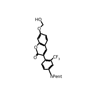 CCCCCc1ccc(-c2cc3ccc(OCO)cc3oc2=O)c(C(F)(F)F)c1